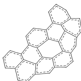 c1cc2ccc3cc4ccc5cc6ccc7cccc8c9ccc%10c(c1)c2c3c1c4c5c(c6c78)c9c%101